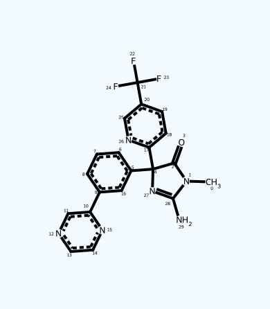 CN1C(=O)C(c2cccc(-c3cnccn3)c2)(c2ccc(C(F)(F)F)cn2)N=C1N